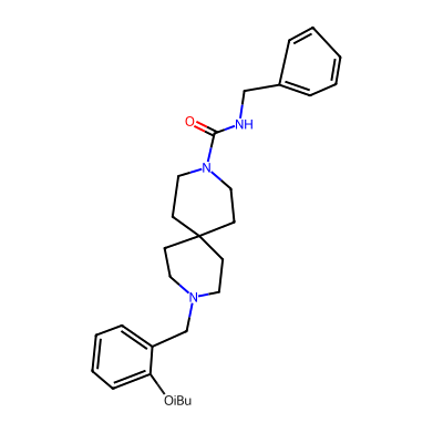 CC(C)COc1ccccc1CN1CCC2(CC1)CCN(C(=O)NCc1ccccc1)CC2